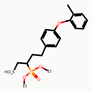 CCOP(=O)(OCC)C(CCc1ccc(Oc2ccccc2C)cc1)CS(=O)(=O)O